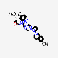 N#Cc1ccc2c(c1)CCCN(c1cccc(N3CCN(Cc4nc5ccc(C(=O)O)cc5n4C[C@@H]4CCO4)CC3)n1)C2